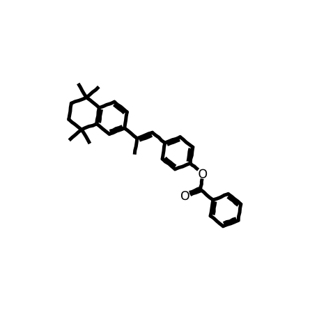 CC(=Cc1ccc(OC(=O)c2ccccc2)cc1)c1ccc2c(c1)C(C)(C)CCC2(C)C